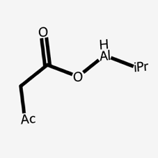 CC(=O)CC(=O)[O][AlH][CH](C)C